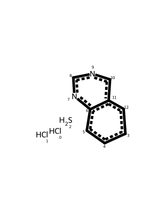 Cl.Cl.S.c1ccc2ncncc2c1